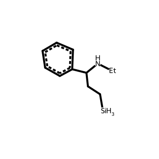 CCNC(CC[SiH3])c1ccccc1